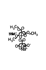 CCOC(=O)CC(O)(CC(=O)OCC)C(=O)OCC.O=C([O-])CC(O)(CC(=O)[O-])C(=O)[O-].[Na+].[Na+].[Na+]